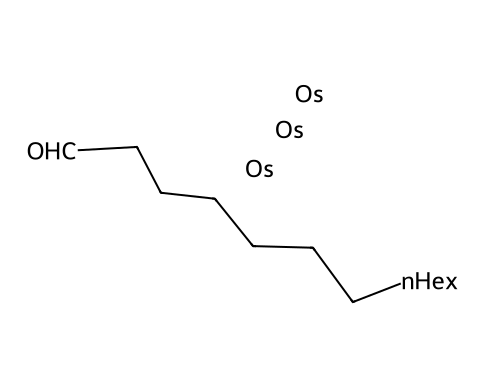 CCCCCCCCCCCCC=O.[Os].[Os].[Os]